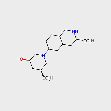 O=C(O)C1CC2CC(N3C[C@H](O)C[C@H](C(=O)O)C3)CCC2CN1